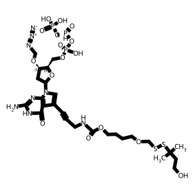 CC(C)(CCO)SSCOCCCCOC(=O)NCC#Cc1cn(C2C[C@H](OCN=[N+]=[N-])[C@@H](COP(=O)(O)O[PH](=O)OP(=O)(O)O)O2)c2nc(N)[nH]c(=O)c12